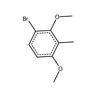 COc1c[c]c(Br)c(OC)c1C